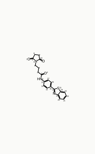 O=C(CCCN1C(=O)CCC1=O)Nc1ccc(-c2nc3ccccc3s2)cc1